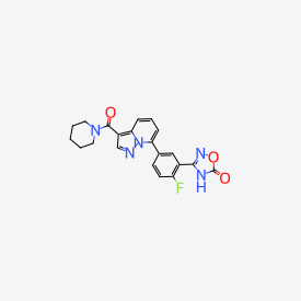 O=C(c1cnn2c(-c3ccc(F)c(-c4noc(=O)[nH]4)c3)cccc12)N1CCCCC1